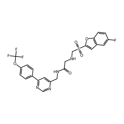 O=C(CNCS(=O)(=O)c1cc2cc(F)ccc2o1)NCc1cc(-c2ccc(OC(F)(F)F)cc2)ncn1